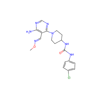 CON=Cc1c(N)ncnc1N1CCC(NC(=O)Nc2ccc(Cl)cc2)CC1